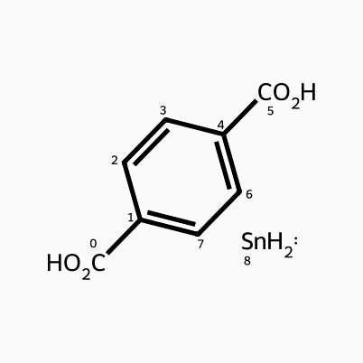 O=C(O)c1ccc(C(=O)O)cc1.[SnH2]